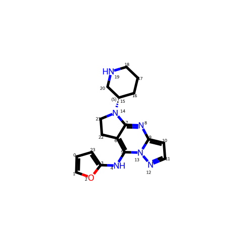 c1coc(Nc2c3c(nc4ccnn24)N([C@H]2CCCNC2)CC3)c1